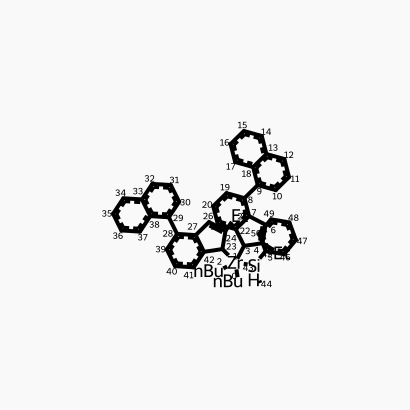 CCC[CH2][Zr]([CH2]CCC)([CH]1C(CC)=Cc2c(-c3cccc4ccccc34)cccc21)([CH]1C(CC)=Cc2c(-c3cccc4ccccc34)cccc21)[SiH](C)c1ccccc1